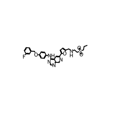 CCCS(=O)(=O)CCNCc1ccc(-c2cc3c(Nc4ccc(OCc5cccc(F)c5)cc4)ncnc3cn2)o1